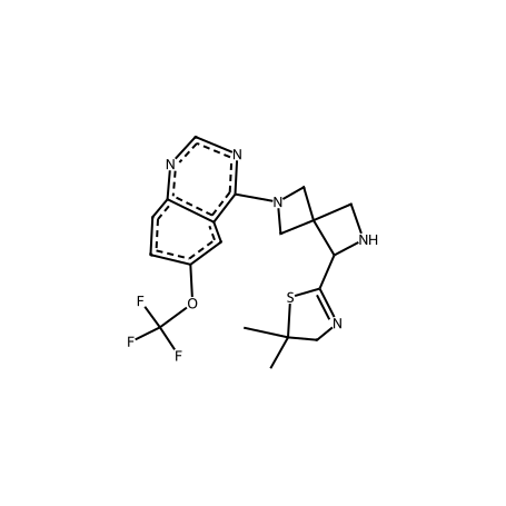 CC1(C)CN=C(C2NCC23CN(c2ncnc4ccc(OC(F)(F)F)cc24)C3)S1